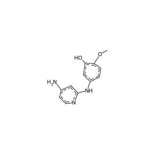 COc1ccc(Nc2cc(N)ccn2)cc1O